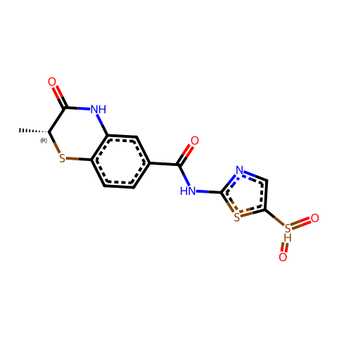 C[C@H]1Sc2ccc(C(=O)Nc3ncc([SH](=O)=O)s3)cc2NC1=O